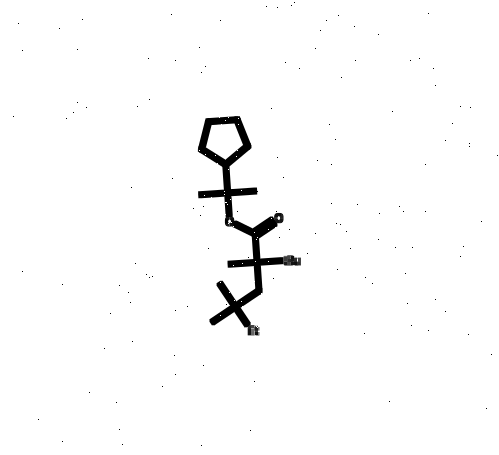 CCC(C)(C)CC(C)(C(=O)OC(C)(C)C1CCCC1)C(C)(C)C